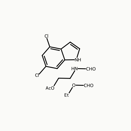 CC(=O)OCCNC=O.CCOC=O.Clc1cc(Cl)c2cc[nH]c2c1